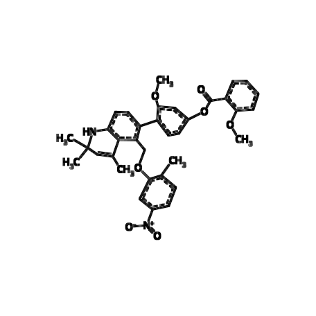 COc1ccccc1C(=O)Oc1ccc(-c2ccc3c(c2COc2cc([N+](=O)[O-])ccc2C)C(C)=CC(C)(C)N3)c(OC)c1